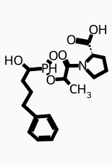 CC(O[PH](=O)C(O)CCCc1ccccc1)C(=O)N1CCC[C@H]1C(=O)O